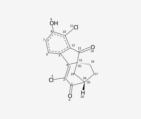 O=C1C(Cl)=C2c3ccc(O)c(Cl)c3C(=O)[C@]23CC[C@H]1C3